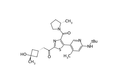 Cc1cc(NC(C)(C)C)ncc1-c1sc(C(=O)C[C@H]2C[C@@](C)(O)C2)nc1C(=O)N1CCC[C@@H]1C